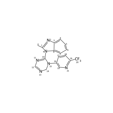 Cc1nc2ccccc2n1C1=NC=NCN1c1ccc(C(F)(F)F)nc1